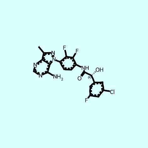 Cc1nn(-c2ccc(NC(=O)[C@H](O)c3cc(F)cc(Cl)c3)c(F)c2F)c2c(N)ncnc12